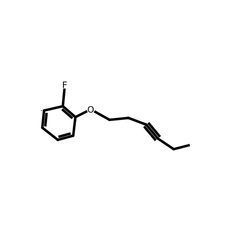 CCC#CCCOc1ccc[c]c1F